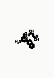 Nc1cc(CO)nc(C2=Cc3ccccc3CC2)c1.O=C(O)/C=C/C(=O)O